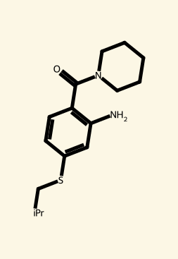 CC(C)CSc1ccc(C(=O)N2CCCCC2)c(N)c1